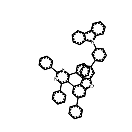 c1ccc(-c2cc(-c3c(-c4ccccc4)nc(-c4ccccc4)nc3-c3ccccc3)c3c(c2)oc2cc(-c4cccc(-n5c6ccccc6c6ccccc65)c4)ccc23)cc1